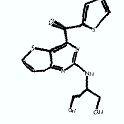 O=C(c1cccs1)c1nc(NC(CO)CO)nc2ccsc12